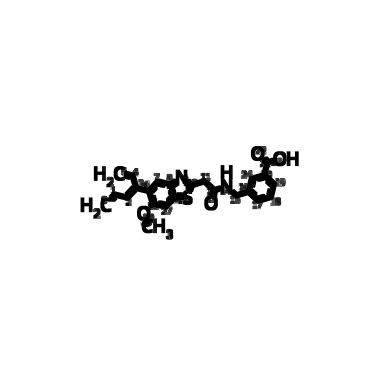 C=C/C=C(\C=C)c1cc2nc(CC(=O)NCc3cccc(C(=O)O)c3)sc2cc1OC